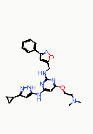 CN(C)CCOc1cc(Nc2cc(C3CC3)n[nH]2)nc(NCc2cc(-c3ccccc3)no2)n1